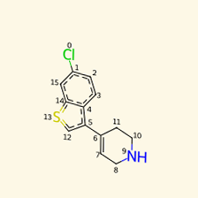 Clc1ccc2c(C3=CCNCC3)csc2c1